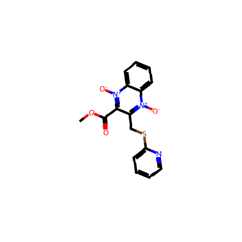 COC(=O)c1c(CSc2ccccn2)[n+]([O-])c2ccccc2[n+]1[O-]